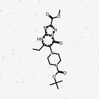 CCc1[nH]c2nc(C(=O)OC)nn2c(=O)c1N1CCN(C(=O)OC(C)(C)C)CC1